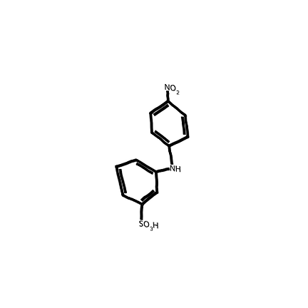 O=[N+]([O-])c1ccc(Nc2cccc(S(=O)(=O)O)c2)cc1